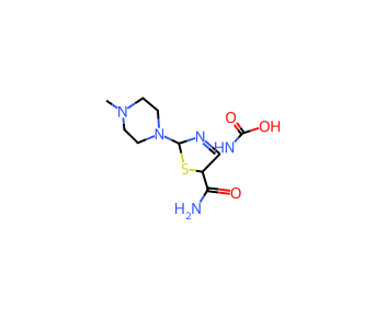 CN1CCN(C2N=C(NC(=O)O)C(C(N)=O)S2)CC1